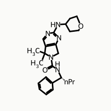 CCC[C@@H](NC(=O)N1Cc2nc(NC3CCOCC3)ncc2C1(C)C)c1ccccc1